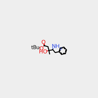 CC(C)(C)OC(=O)CC(C)(O)C(N)Cc1ccccc1